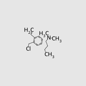 C=Cc1ccccc1CCl.CCCCN(C)C